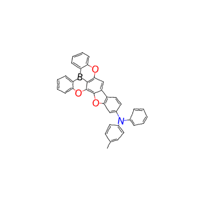 Cc1ccc(N(c2ccccc2)c2ccc3c(c2)oc2c4c5c(cc23)Oc2ccccc2B5c2ccccc2O4)cc1